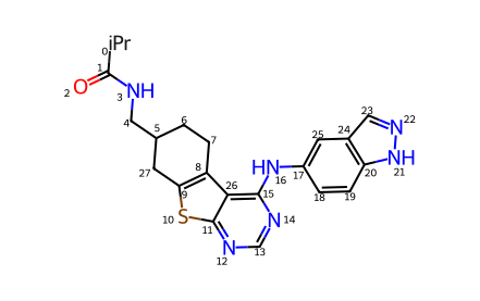 CC(C)C(=O)NCC1CCc2c(sc3ncnc(Nc4ccc5[nH]ncc5c4)c23)C1